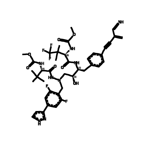 C=C(C#Cc1ccc(C[C@H](NC(=O)[C@@H](NC(=O)OC)C(C)(C)C(F)(F)F)[C@@H](O)CN(Cc2c(F)cc(-c3cc[nH]n3)cc2F)NC(=O)[C@@H](NC(=O)OC)C(C)(C)C)cc1)C=N